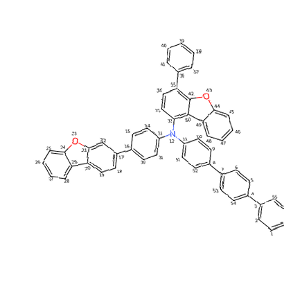 c1ccc(-c2ccc(-c3ccc(N(c4ccc(-c5ccc6c(c5)oc5ccccc56)cc4)c4ccc(-c5ccccc5)c5oc6ccccc6c45)cc3)cc2)cc1